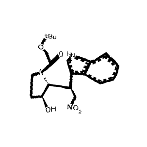 CC(C)(C)OC(=O)N1CC[C@H](O)[C@H]1[C@H](C[N+](=O)[O-])c1c[nH]c2ccccc12